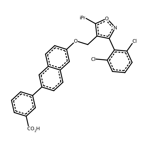 CC(C)c1onc(-c2c(Cl)cccc2Cl)c1COc1ccc2cc(-c3cccc(C(=O)O)c3)ccc2c1